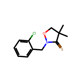 CC1(C)CON(Cc2ccccc2Cl)C1=S